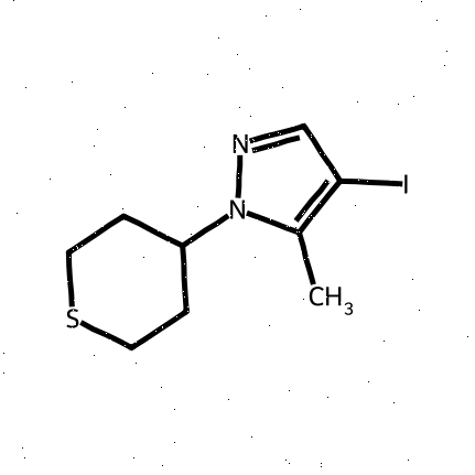 Cc1c(I)cnn1C1CCSCC1